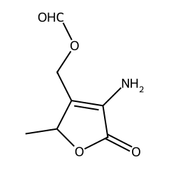 CC1OC(=O)C(N)=C1COC=O